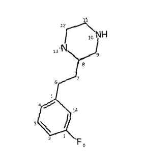 Fc1cccc(CCC2CNCC[N]2)c1